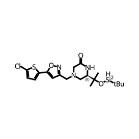 CC(C)(C)[SiH2]OC(C)(C)[C@H]1CN(Cc2cc(-c3ccc(Cl)s3)on2)CC(=O)N1